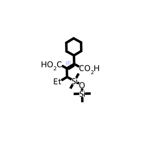 CCC(/C(C(=O)O)=C(\C(=O)O)C1CCCCC1)[Si](C)(C)O[Si](C)(C)C